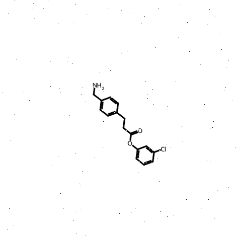 NCc1ccc(CCC(=O)Oc2cccc(Cl)c2)cc1